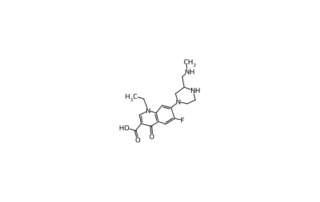 CCn1cc(C(=O)O)c(=O)c2cc(F)c(N3CCNC(CNC)C3)cc21